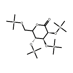 C[Si](C)(C)OCC1OC(=O)[C@@H](O[Si](C)(C)C)[C@@H](O[Si](C)(C)C)[C@@H]1O[Si](C)(C)C